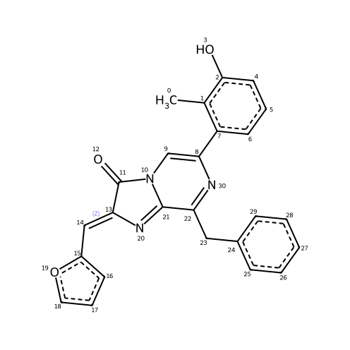 Cc1c(O)cccc1C1=CN2C(=O)/C(=C/c3ccco3)N=C2C(Cc2ccccc2)=N1